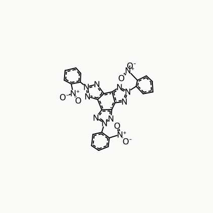 O=[N+]([O-])c1ccccc1-n1nc2c3nn(-c4ccccc4[N+](=O)[O-])nc3c3nn(-c4ccccc4[N+](=O)[O-])nc3c2n1